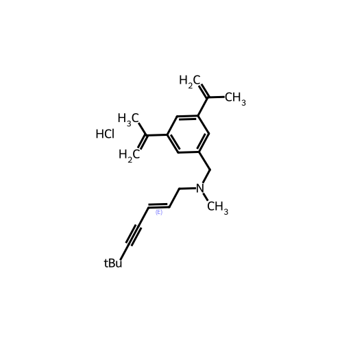 C=C(C)c1cc(CN(C)C/C=C/C#CC(C)(C)C)cc(C(=C)C)c1.Cl